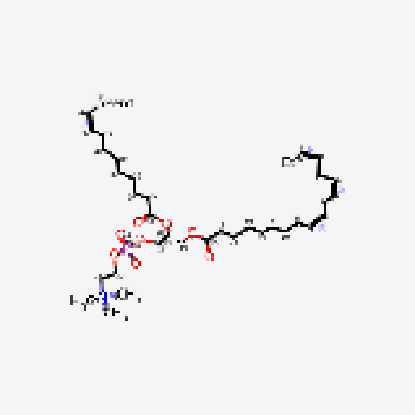 CC/C=C\C/C=C\C/C=C\CCCCCCCC(=O)OC[C@H](COP(=O)([O-])OCC[N+](C)(C)C)OC(=O)CCCCCCC/C=C\CCCCC